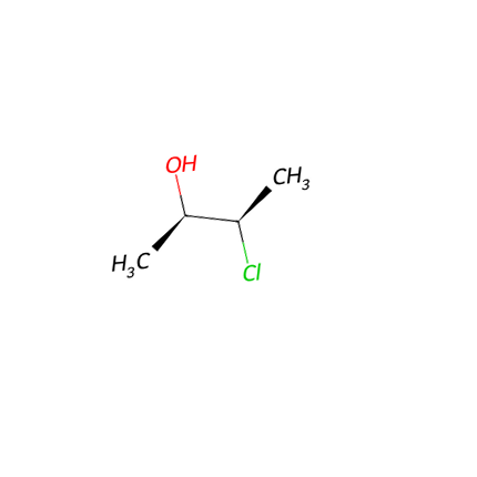 C[C@@H](O)[C@@H](C)Cl